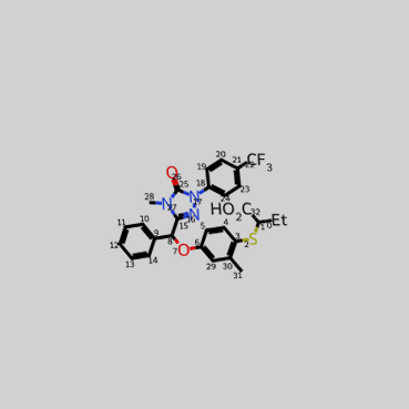 CCC(Sc1ccc(OC(c2ccccc2)c2nn(-c3ccc(C(F)(F)F)cc3)c(=O)n2C)cc1C)C(=O)O